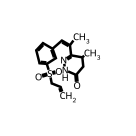 C=CCS(=O)(=O)c1cccc(C=C(C)C2=NNC(=O)CC2C)c1